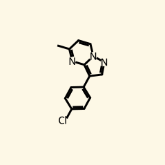 Cc1ccn2ncc(-c3ccc(Cl)cc3)c2n1